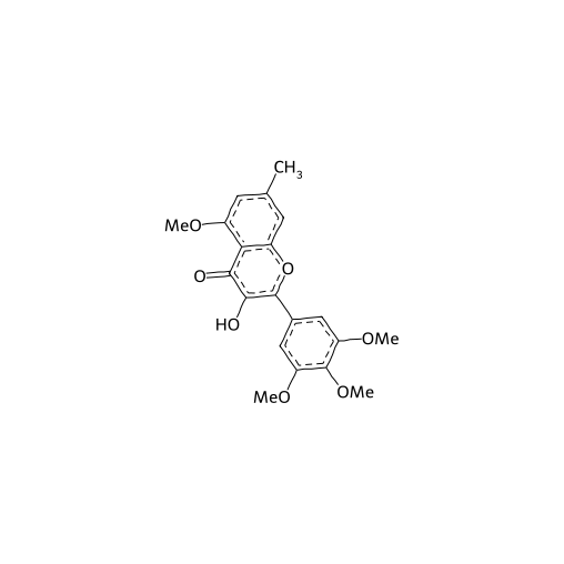 COc1cc(-c2oc3cc(C)cc(OC)c3c(=O)c2O)cc(OC)c1OC